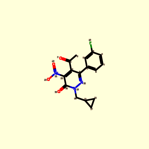 CC(=O)c1c(-c2cccc(F)c2)nn(CC2CC2)c(=O)c1[N+](=O)[O-]